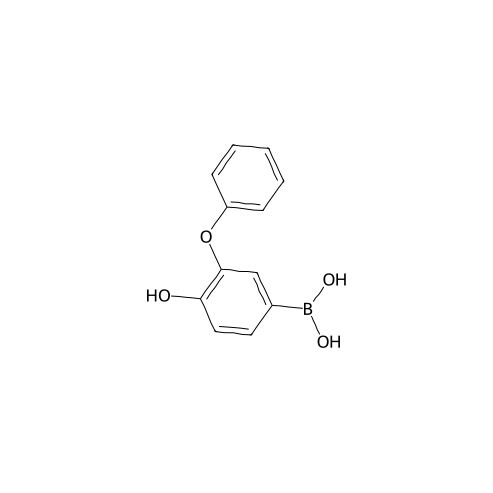 OB(O)c1ccc(O)c(Oc2ccccc2)c1